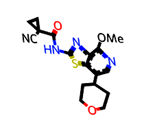 COc1ncc(C2CCOCC2)c2sc(NC(=O)C3(C#N)CC3)nc12